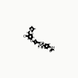 CC(=O)Nc1ccc(S(=O)(=O)N(C)CC2CC(Oc3ccc(CN4CCCC4)c(Cl)c3)C2)cc1